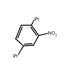 CC(C)c1ccc(C(C)C)c([N+](=O)[O-])c1